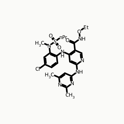 CCCS(=O)(=O)N(C)c1cc(Cl)ccc1Nc1cc(Nc2cc(C)nc(C)n2)ncc1C(=O)NOCC